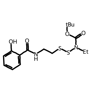 CCN(SSCCNC(=O)c1ccccc1O)C(=O)OC(C)(C)C